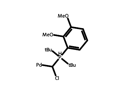 COc1cccc([PH]([CH](Cl)[Pd])(C(C)(C)C)C(C)(C)C)c1OC